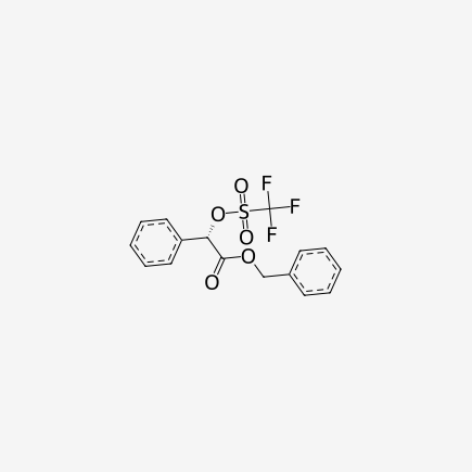 O=C(OCc1ccccc1)[C@@H](OS(=O)(=O)C(F)(F)F)c1ccccc1